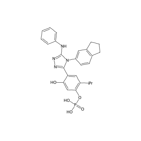 CC(C)c1cc(-c2nnc(Nc3ccccc3)n2-c2ccc3c(c2)CCC3)c(O)cc1OP(=O)(O)O